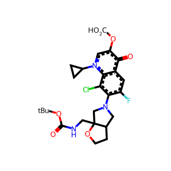 CC(C)(C)OC(=O)NCC12CN(c3c(F)cc4c(=O)c(OC(=O)O)cn(C5CC5)c4c3Cl)CC1CCO2